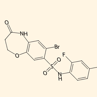 O=C1CCOc2cc(S(=O)(=O)Nc3ccc(F)cc3F)c(Br)cc2N1